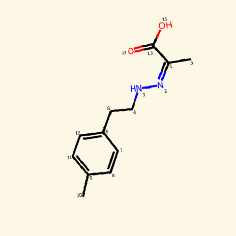 C/C(=N/NCCc1ccc(C)cc1)C(=O)O